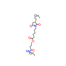 CCSC1CC(=O)N(CCCCCC(=O)OCCCC(=O)NC)C1=O